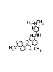 Cc1ccc2c(Nc3ccc(N(C)C)nc3)nccc2c1NC(=O)c1cccc2c(N)ncnc12